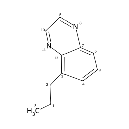 CCCc1cccc2nccnc12